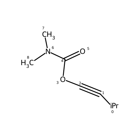 CC(C)C#COC(=O)N(C)C